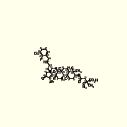 CC(C)C1=C2[C@H]3CCC4[C@@]5(C)CC[C@H](OC(=O)CC(C)(C)C(=O)O)C(C)(C)C5CC[C@@]4(C)[C@]3(C)CC[C@@]2(CCNCc2cccc(Cl)c2F)CC1=O